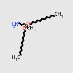 CCCCCCCCCCCCO[Si](C)(CCCN)OCCCCCCCCCCCC